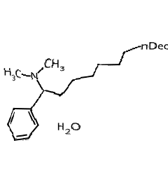 CCCCCCCCCCCCCCCCC(c1ccccc1)N(C)C.O